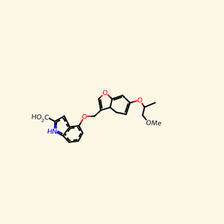 COCC(C)OC1=CCC2C(COc3cccc4[nH]c(C(=O)O)cc34)=COC2=C1